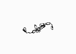 Cc1c(OC(=O)C2CCC(CCCC3CO3)CC2)ccc(OC(=O)C2CCC(C)(CCCC3CO3)CC2)c1C